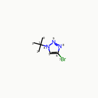 CC(C)(C)n1cc(Br)nn1